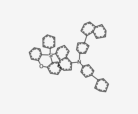 c1ccc(-c2ccc(N(c3ccc(-c4cccc5ccccc45)cc3)c3cccc4c([Si]5(c6ccccc6)c6ccccc6Oc6ccccc65)cccc34)cc2)cc1